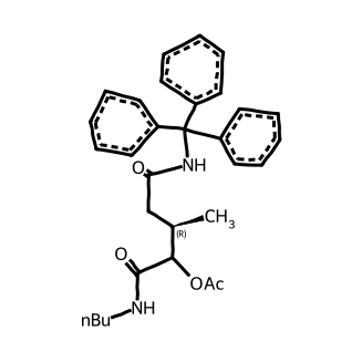 CCCCNC(=O)C(OC(C)=O)[C@H](C)CC(=O)NC(c1ccccc1)(c1ccccc1)c1ccccc1